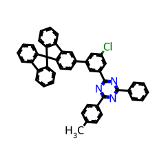 Cc1ccc(-c2nc(-c3ccccc3)nc(-c3cc(Cl)cc(-c4ccc5c(c4)-c4ccccc4C54c5ccccc5-c5ccccc54)c3)n2)cc1